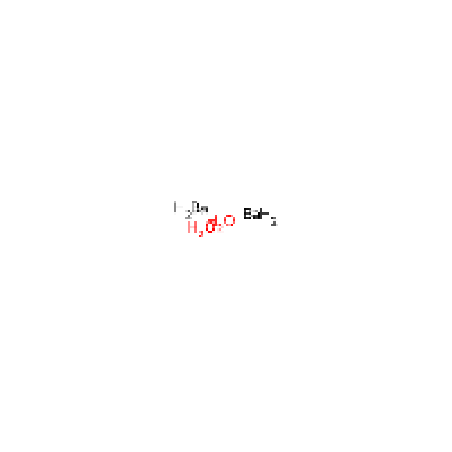 O.O.[BaH2].[BaH2]